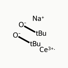 CC(C)(C)[O-].CC(C)(C)[O-].[Ce+3].[Na+]